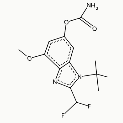 COc1cc(OC(N)=O)cc2c1nc(C(F)F)n2C(C)(C)C